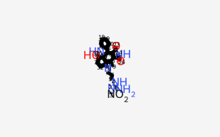 NC(=N[N+](=O)[O-])NCCCn1cc(C2=C(c3c[nH]c4ccccc34)C(=O)NC2=O)c2cc(O)ccc21